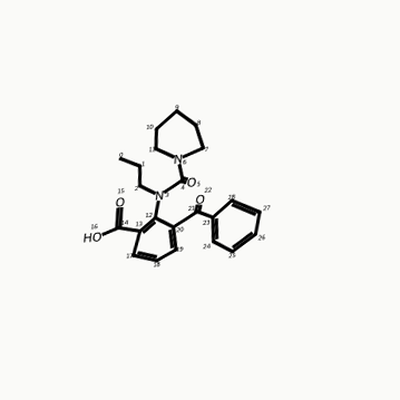 CCCN(C(=O)N1CCCCC1)c1c(C(=O)O)cccc1C(=O)c1ccccc1